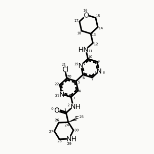 O=C(Nc1cc(-c2cncc(NCC3CCOCC3)n2)c(Cl)cn1)[C@@]1(F)CCCNC1